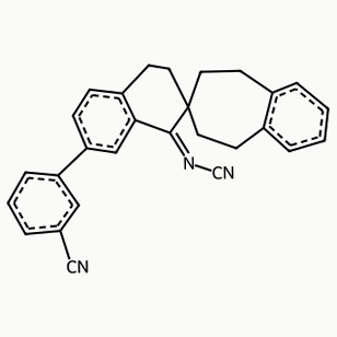 N#C/N=C1/c2cc(-c3cccc(C#N)c3)ccc2CCC12CCc1ccccc1CC2